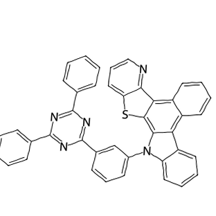 c1ccc(-c2nc(-c3ccccc3)nc(-c3cccc(-n4c5ccccc5c5c6ccccc6c6c7ncccc7sc6c54)c3)n2)cc1